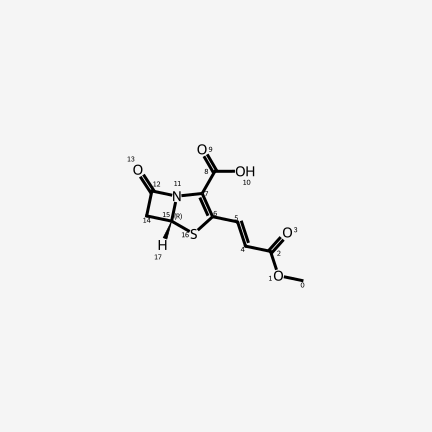 COC(=O)C=CC1=C(C(=O)O)N2C(=O)C[C@H]2S1